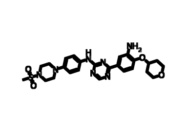 CS(=O)(=O)N1CCN(c2ccc(Nc3ncnc(-c4ccc(OC5CCOCC5)c(N)c4)n3)cc2)CC1